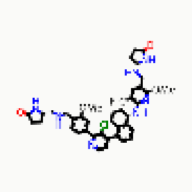 COc1cc(-c2nccc(-c3cccc4c3CCC[C@@H]4Nc3nc(OC)c(CN[C@@H]4CCC(=O)N4)cc3C(F)(F)F)c2Cl)ccc1CNC[C@@H]1CCC(=O)N1